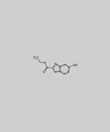 CCOC(=O)c1cn2ccc(O)cc2n1